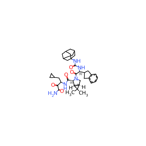 CC1(C)[C@H]2[C@@H](C(=O)NC(CC3CC3)C(=O)C(N)=O)N(C(=O)[C@@H](NC(=O)NC34CC5CC(CC(C5)C3)C4)C3Cc4ccccc4C3)C[C@H]21